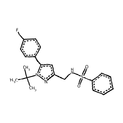 CC(C)(C)n1nc(CNS(=O)(=O)c2ccccc2)cc1-c1ccc(F)cc1